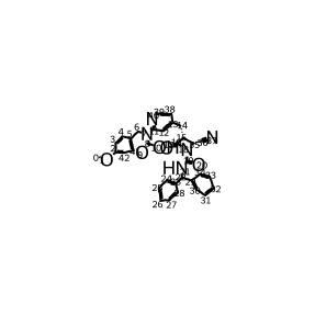 COc1ccc(CN(C(=O)O)c2cc(C[C@H]3C(=O)N(C(=O)NC(c4ccccc4)c4ccccc4)[C@@H]3C#N)ccn2)cc1